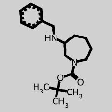 CC(C)(C)OC(=O)N1CCCCC(NCc2ccccc2)C1